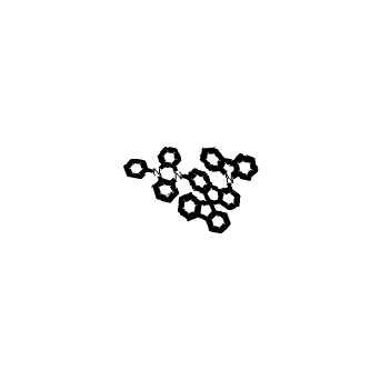 c1ccc(N2c3ccccc3N(c3ccc4c(c3)C3(c5ccccc5-c5ccccc53)c3cccc(-n5c6ccccc6c6ccccc65)c3-4)c3ccccc32)cc1